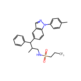 Cc1ccc(-n2ncc3cc(C(c4ccccc4)C(C)CNS(=O)(=O)CCC(F)(F)F)ccc32)cc1